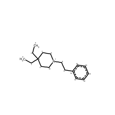 CCC1(CC)CCN(CCc2ccccc2)CC1